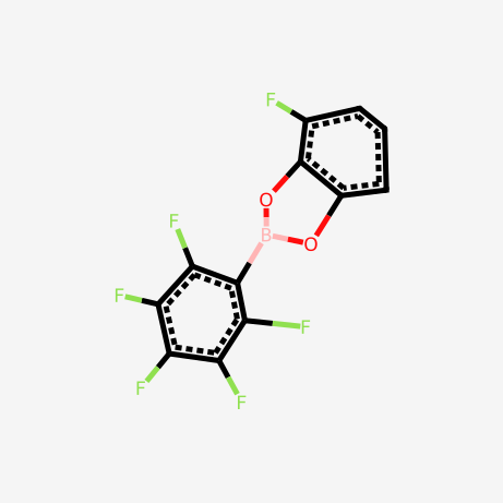 Fc1cccc2c1OB(c1c(F)c(F)c(F)c(F)c1F)O2